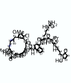 COc1cc2cc(c1Cl)N(C)C(=O)C[C@H](OC(=O)Nc1ccc(NC(=O)[C@H](CCCCNC(N)=O)NC(=O)[C@@H](NC(=S)NCCCCN3C(=O)C=CC3O)C(C)C)c3cccnc13)[C@]1(C)O[C@H]1[C@H](C)[C@@H]1C[C@@](O)(NC(=O)O1)[C@H](OC)/C=C/C=C(\C)C2